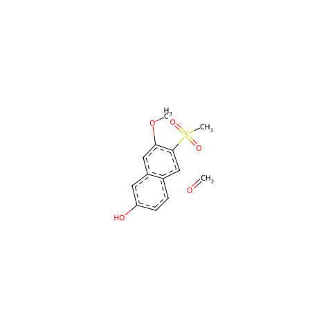 C=O.COc1cc2cc(O)ccc2cc1S(C)(=O)=O